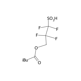 CCC(C)C(=O)OCC(F)(F)C(F)(F)S(=O)(=O)O